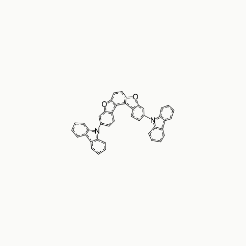 c1ccc2c(c1)c1ccccc1n2-c1ccc2c(c1)oc1ccc3oc4cc(-n5c6ccccc6c6ccccc65)ccc4c3c12